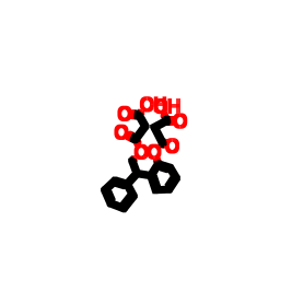 O=C(O)CC(=O)OCC(c1ccccc1)c1ccccc1OC(=O)CC(=O)O